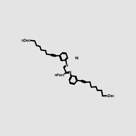 CCCCCCCCCCCCCCCCC#Cc1cccc(N=CC(CCCCC)=Nc2cccc(C#CCCCCCCCCCCCCCCCC)c2)c1.[Ni]